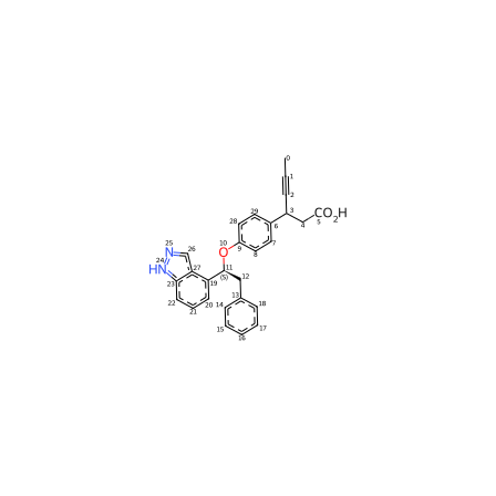 CC#CC(CC(=O)O)c1ccc(O[C@@H](Cc2ccccc2)c2cccc3[nH]ncc23)cc1